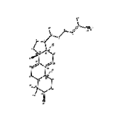 CC(=CCCC(C)C1CC[C@@]2(C)C3=CCC4C(C)(C)C(=O)CC[C@]4(C)C3=CC[C@]12C)C(=O)O